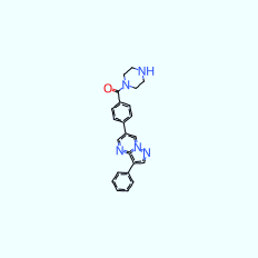 O=C(c1ccc(-c2cnc3c(-c4ccccc4)cnn3c2)cc1)N1CCNCC1